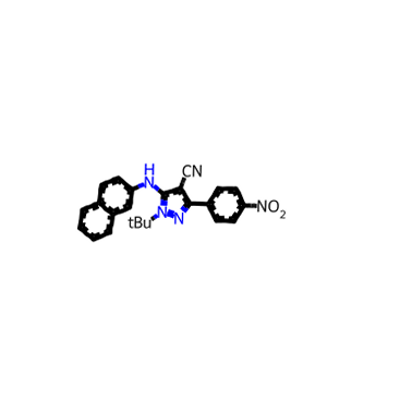 CC(C)(C)n1nc(-c2ccc([N+](=O)[O-])cc2)c(C#N)c1Nc1ccc2ccccc2c1